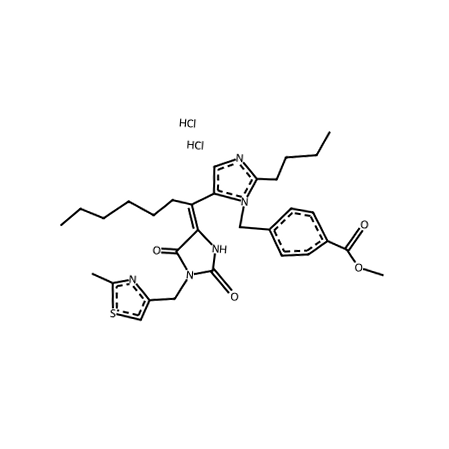 CCCCCCC(=C1NC(=O)N(Cc2csc(C)n2)C1=O)c1cnc(CCCC)n1Cc1ccc(C(=O)OC)cc1.Cl.Cl